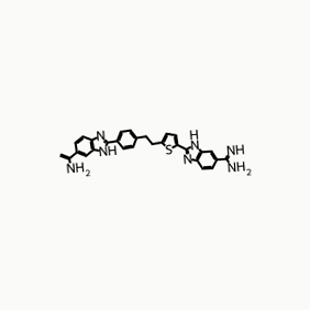 C=C(N)c1ccc2nc(-c3ccc(CCc4ccc(-c5nc6ccc(C(=N)N)cc6[nH]5)s4)cc3)[nH]c2c1